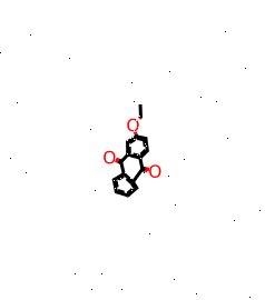 CCOc1ccc2c(c1)C(=O)c1ccccc1C2=O